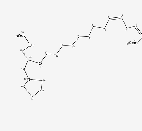 CCCCC/C=C\C/C=C\CCCCCCCCO[C@@H](COCCCCCCCC)CN1CCCC1